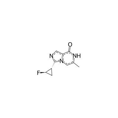 Cc1cn2c([C@@H]3C[C@H]3F)ncc2c(=O)[nH]1